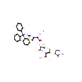 CO/N=C(\C(=O)N[C@@H]1C(=O)N2C(C(=O)O)=C(SC3CCN(C)C3=O)CS[C@H]12)c1csc(NC(c2ccccc2)(c2ccccc2)c2ccccc2)n1